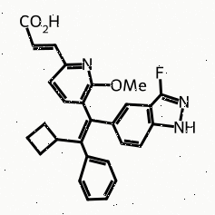 COc1nc(C=CC(=O)O)ccc1C(=C(c1ccccc1)C1CCC1)c1ccc2[nH]nc(F)c2c1